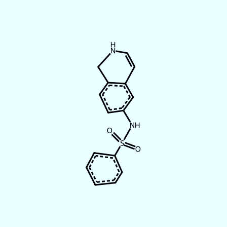 O=S(=O)(Nc1ccc2c(c1)C=CNC2)c1ccccc1